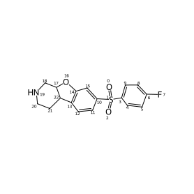 O=S(=O)(c1ccc(F)cc1)c1ccc2c(c1)OC1CNCCC21